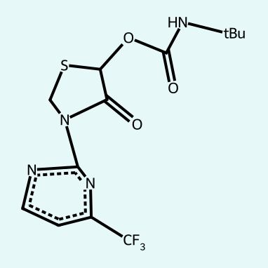 CC(C)(C)NC(=O)OC1SCN(c2nccc(C(F)(F)F)n2)C1=O